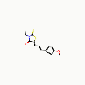 CCN1C(=O)/C(=C/C=C/c2ccc(OC)cc2)SC1=S